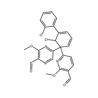 COc1nc(C2(c3cnc(C=O)c(OC)n3)C=CC=C(c3ccccc3Cl)C2Cl)ccc1C=O